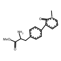 COC(=O)C(N)Cc1ccc(-c2cccn(C)c2=O)cc1